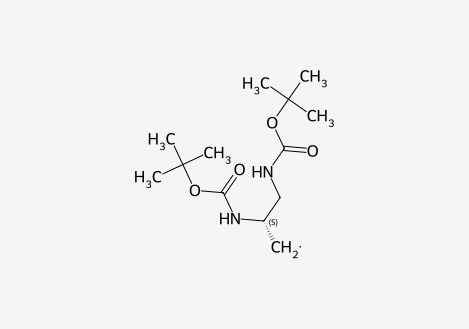 [CH2][C@@H](CNC(=O)OC(C)(C)C)NC(=O)OC(C)(C)C